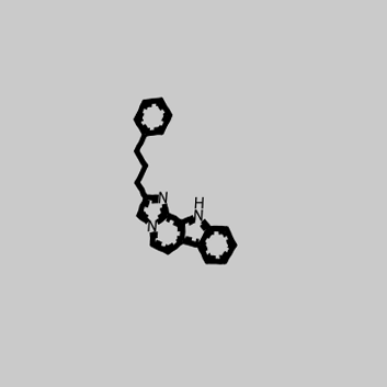 c1ccc(CCCc2cn3ccc4c5ccccc5[nH]c4c3n2)cc1